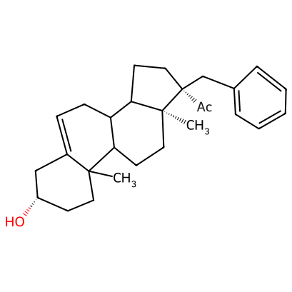 CC(=O)[C@@]1(Cc2ccccc2)CCC2C3CC=C4C[C@@H](O)CCC4(C)C3CC[C@@]21C